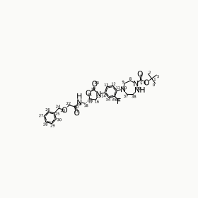 CC(C)(C)OC(=O)N1CCN(c2ccc(N3C[C@H](CNC(=O)COCc4ccccc4)OC3=O)cc2F)CCN1